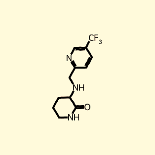 O=C1NCCCC1NCc1ccc(C(F)(F)F)cn1